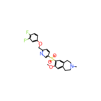 COc1cc2c(cc1S(=O)(=O)c1ccc(COc3ccc(F)c(F)c3)nc1)CCN(C)CC2